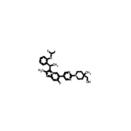 Cc1nc2cc(F)c(-c3cnc(N4CCC(C)(CO)CC4)nc3)cn2c1C(C)c1ccccc1OC(F)F